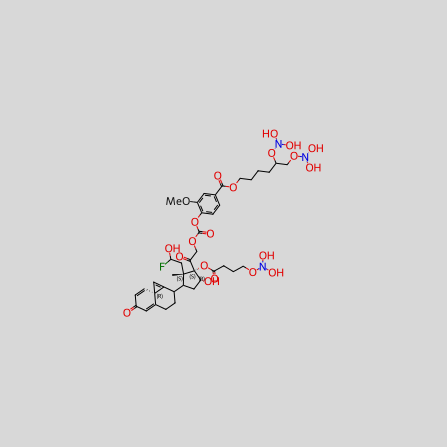 COc1cc(C(=O)OCCCCC(CON(O)O)ON(O)O)ccc1OC(=O)OCC(=O)[C@@]1(OC(=O)CCCON(O)O)[C@H](O)CC(C2CCC3=CC(=O)C=C[C@@]34C=C24)[C@]1(C)CC(O)F